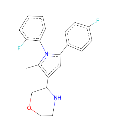 Cc1c(C2COCCN2)cc(-c2ccc(F)cc2)n1-c1ccccc1F